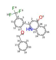 O=c1cc(-c2cc(C(F)(F)F)ccc2OCc2ccccc2)[nH]c2ccccc12